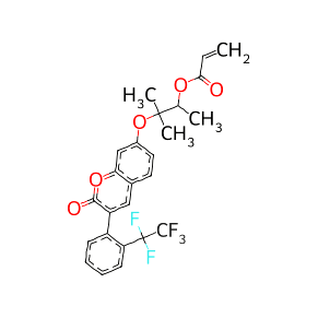 C=CC(=O)OC(C)C(C)(C)Oc1ccc2cc(-c3ccccc3C(F)(F)C(F)(F)F)c(=O)oc2c1